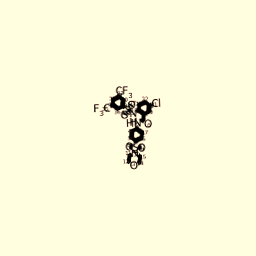 O=C(Nc1ccc(S(=O)(=O)N2CCOCC2)cc1)c1cc(Cl)ccc1NS(=O)(=O)c1cc(C(F)(F)F)cc(C(F)(F)F)c1